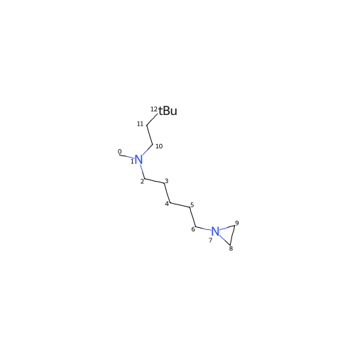 CN(CCCCCN1CC1)CCC(C)(C)C